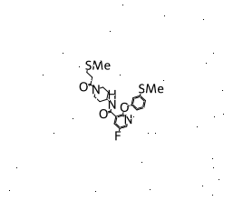 CSCCC(=O)N1CCC(NC(=O)c2cc(F)cnc2Oc2cccc(SC)c2)CC1